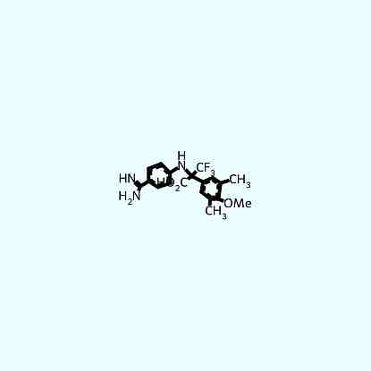 COc1c(C)cc(C(Nc2ccc(C(=N)N)cc2)(C(=O)O)C(F)(F)F)cc1C